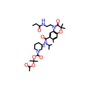 CCC(=O)NCCN1C(=O)C(C)(C)Oc2cc(C)c(C(=O)N(C(C)C)[C@@H]3CCCN(C(=O)OC(C)(C)OC(C)=O)C3)cc21